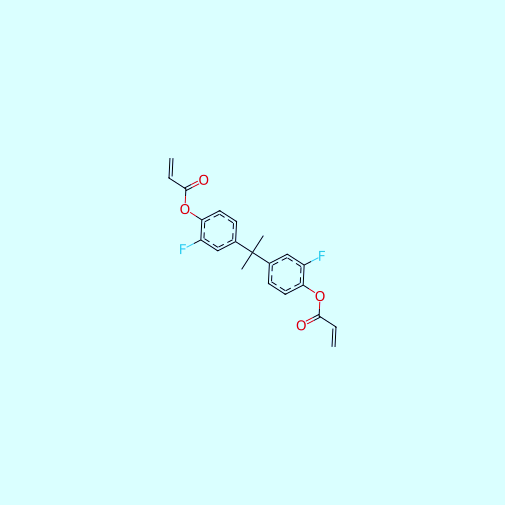 C=CC(=O)Oc1ccc(C(C)(C)c2ccc(OC(=O)C=C)c(F)c2)cc1F